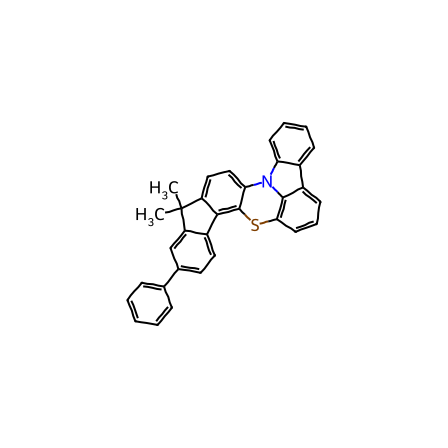 CC1(C)c2cc(-c3ccccc3)ccc2-c2c1ccc1c2Sc2cccc3c4ccccc4n-1c23